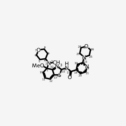 COC1(N(C)C2CCOCC2)C=CC=C2SC(NC(=O)c3ccnc(N4CCOCC4)c3)N=C21